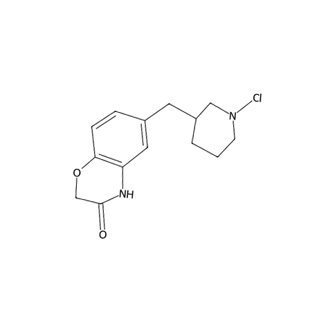 O=C1COc2ccc(CC3CCCN(Cl)C3)cc2N1